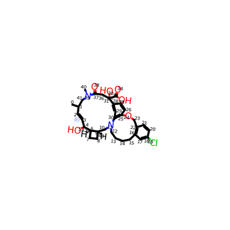 CC1/C=C/C(O)[C@@H]2CC[C@H]2CN2CCCCc3cc(Cl)ccc3COc3ccc(cc32)[C@@](O)(C(=O)O)CC(=O)N(C)C1